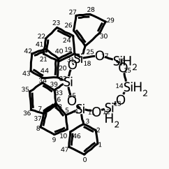 c1ccc([Si]2(c3ccccc3)O[SiH2]O[SiH2]O[SiH2]O[Si](c3ccccc3)(c3ccccc3)O[Si](c3ccccc3)(c3ccccc3)O2)cc1